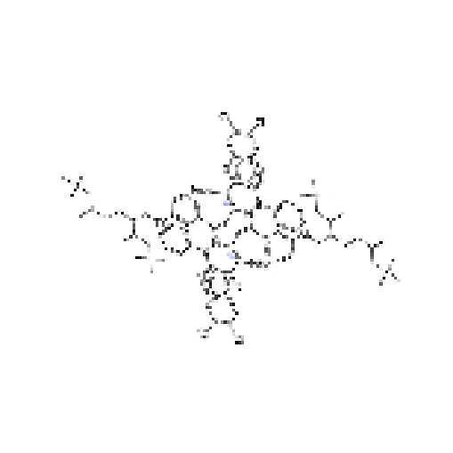 [C-]#[N+]/C(c1cnc2cc(Cl)c(Cl)cc2n1)=c1\c2c(-c3cccc(OCC(CCC(C)CC(C)(C)C)C(C)CC(C)(C)C)c3)n(B(c3ccccc3)c3ccccc3)/c(=C(/C#N)c3cnc4cc(Cl)c(Cl)cc4n3)c2c(-c2cccc(OCC(CCC(C)CC(C)(C)C)C(C)CC(C)(C)C)c2)n1B(c1ccccc1)c1ccccc1